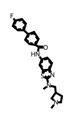 CN1CCC(CN(C)c2nc3ccc(NC(=O)c4ccc(-c5ccc(F)cc5)cc4)cc3s2)C1